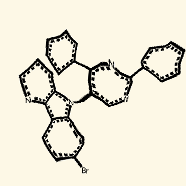 Brc1ccc2c3ncccc3n(-c3cnc(-c4ccccc4)nc3-c3ccccc3)c2c1